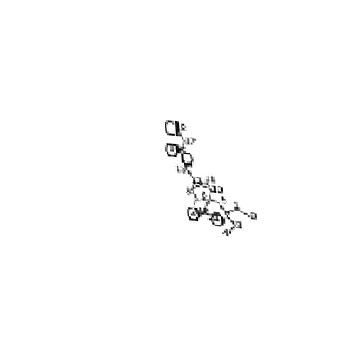 CCC1(CC)CC2(CC3CC2CC3COC(=O)CCl)C(=O)O1